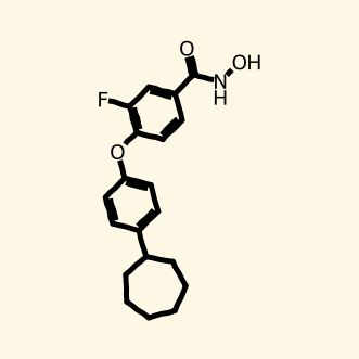 O=C(NO)c1ccc(Oc2ccc(C3CCCCCC3)cc2)c(F)c1